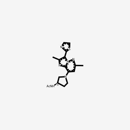 CC(=O)N[C@@H]1CCN(c2cc(C)nn3c(-c4nccs4)c(C)nc23)C1